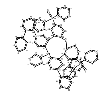 O=P(c1ccccc1)(c1ccccc1)c1ccc2c(c1)-c1cc(-c3ccccc3-c3ccccc3)ccc1N(c1ccccc1)c1ccc(-c3ccccc3-c3ccccc3)cc1-c1cc(P(=O)(c3ccccc3)c3ccccc3)ccc1O2